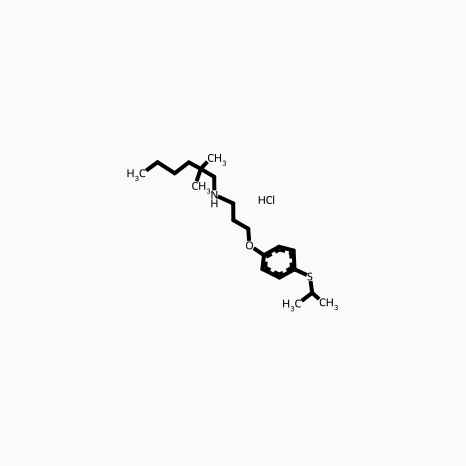 CCCCC(C)(C)CNCCCOc1ccc(SC(C)C)cc1.Cl